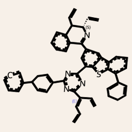 C=C/C=C(\C=C)c1nc(C2=CCC(c3ccccc3)C=C2)nc(-c2cc(C3=N[C@@H](C=C)C(C=C)c4ccccc43)cc3c2sc2c(C4=CCCC=C4)cccc23)n1